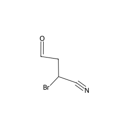 N#CC(Br)CC=O